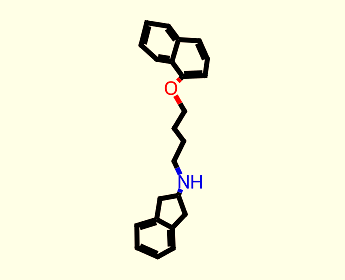 c1ccc2c(c1)CC(NCCCCOc1cccc3ccccc13)C2